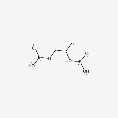 CC(COB(O)Cl)OB(O)Cl